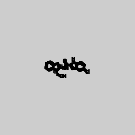 O=C(N[C@@H]1Cc2ccccc2[C@@H]1CO)c1cc2cc(Cl)ccc2[nH]1